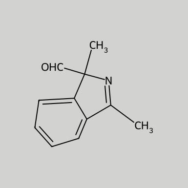 CC1=NC(C)(C=O)c2ccccc21